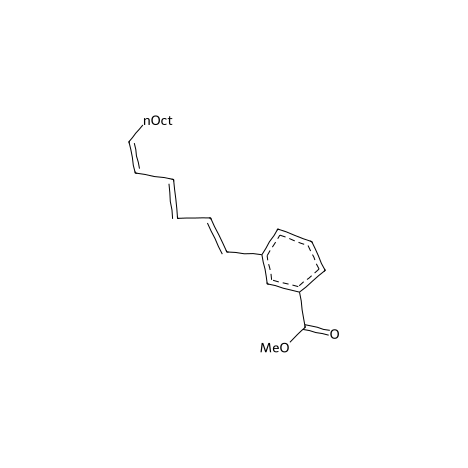 CCCCCCCC\C=C/C=C/C=C/c1cccc(C(=O)OC)c1